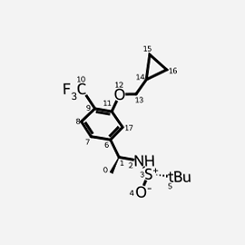 C[C@H](N[S@@+]([O-])C(C)(C)C)c1ccc(C(F)(F)F)c(OCC2CC2)c1